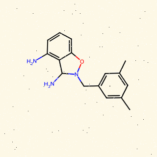 Cc1cc(C)cc(CN2Oc3cccc(N)c3C2N)c1